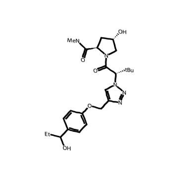 CCC(O)c1ccc(OCc2cn([C@H](C(=O)N3C[C@@H](O)C[C@@H]3C(=O)NC)C(C)(C)C)nn2)cc1